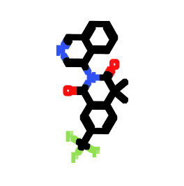 CC1(C)C(=O)N(c2cncc3ccccc23)C(=O)c2cc(C(F)(F)F)ccc21